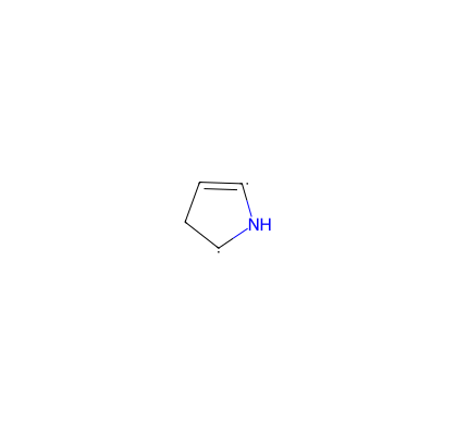 [C]1=CC[CH]N1